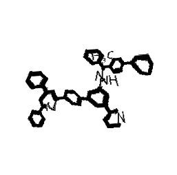 Cc1cc(-c2ccccc2)ccc1/C(=N\Nc1cc(-c2ccc(-c3cc(-c4ccccc4)cc(-c4ccccc4)n3)cc2)cc(-c2cccnc2)c1)c1ccccc1